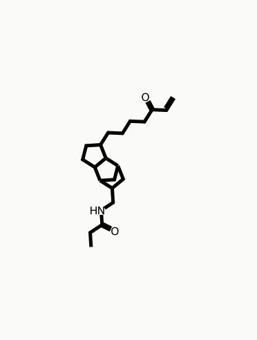 C=CC(=O)CCCCC1CCC2C3CC(CC3CNC(=O)CC)C12